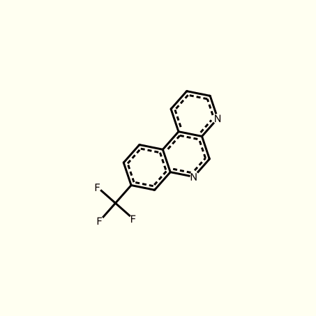 FC(F)(F)c1ccc2c(c1)ncc1ncccc12